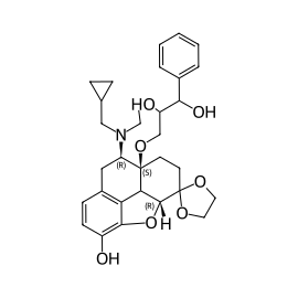 CCN(CC1CC1)[C@@H]1Cc2ccc(O)c3c2C2[C@@H](O3)C3(CC[C@]21OCC(O)C(O)c1ccccc1)OCCO3